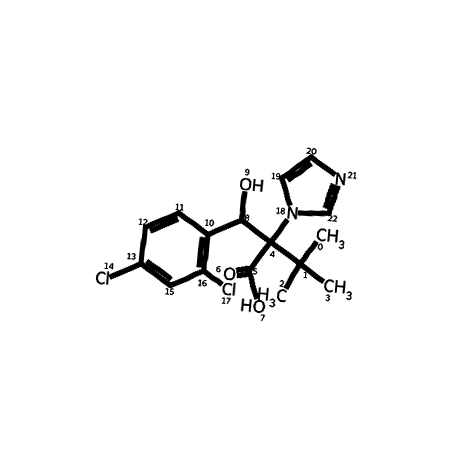 CC(C)(C)C(C(=O)O)(C(O)c1ccc(Cl)cc1Cl)n1ccnc1